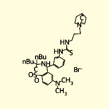 CCCCC1(CCCC)CS(=O)(=O)c2ccc(N(C)C)cc2C(c2cccc(NC(=S)NCCC[N+]34CCC(CC3)CC4)c2)N1.[Br-]